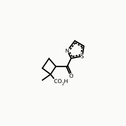 CC1(C(=O)O)CCC1C(=O)c1nccs1